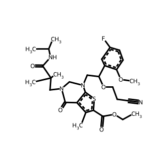 CCOC(=O)c1sc2c(c1C)C(=O)N(CC(C)(C)C(=O)NC(C)C)CN2CC(OCCC#N)c1cc(F)ccc1OC